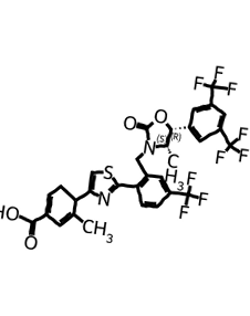 CC1=CC(C(=O)O)=CCC1c1csc(-c2ccc(C(F)(F)F)cc2CN2C(=O)O[C@H](c3cc(C(F)(F)F)cc(C(F)(F)F)c3)[C@@H]2C)n1